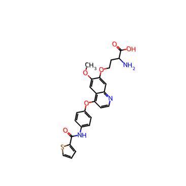 COc1cc2c(Oc3ccc(NC(=O)c4cccs4)cc3)ccnc2cc1OCCC(N)C(=O)O